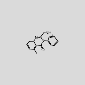 Cc1cccc2nc(CN)n(-c3ccccc3)c(=O)c12